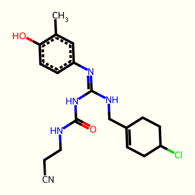 Cc1cc(/N=C(/NCC2=CCC(Cl)CC2)NC(=O)NCCC#N)ccc1O